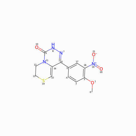 COc1ccc(C2=NNC(=O)N3CCSC=C23)cc1[N+](=O)[O-]